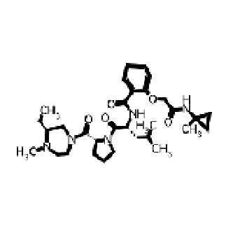 CC[C@H]1CN(C(=O)[C@H]2CCCN2C(=O)[C@@H](CC(C)C)NC(=O)c2ccccc2OCC(=O)NC2(C)CC2)CCN1C